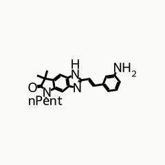 CCCCCN1C(=O)C(C)(C)c2cc3[nH]c(C=Cc4cccc(N)c4)nc3cc21